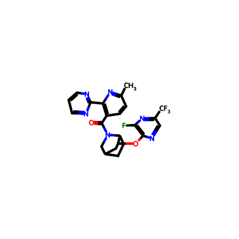 Cc1ccc(C(=O)N2CC3CCC2C(Oc2ncc(C(F)(F)F)nc2F)C3)c(-c2ncccn2)n1